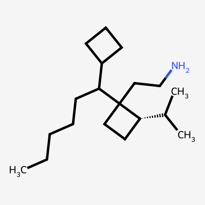 CCCCCC(C1CCC1)C1(CCN)CC[C@H]1C(C)C